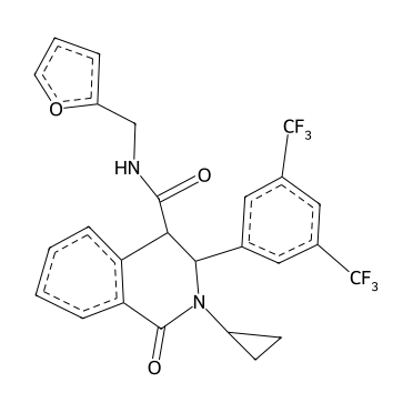 O=C(NCc1ccco1)C1c2ccccc2C(=O)N(C2CC2)C1c1cc(C(F)(F)F)cc(C(F)(F)F)c1